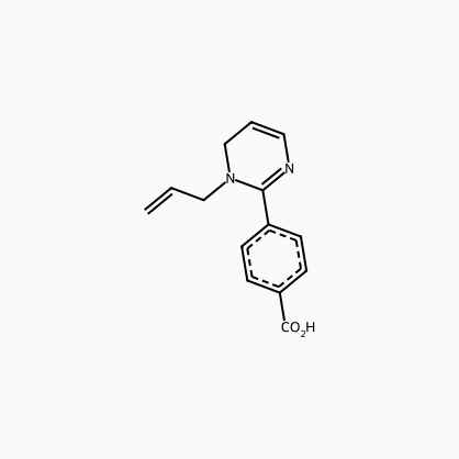 C=CCN1CC=CN=C1c1ccc(C(=O)O)cc1